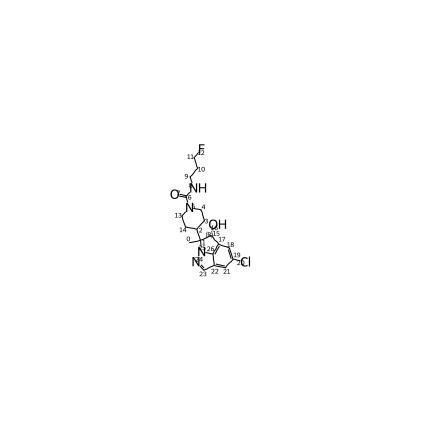 CC1(C2CCN(C(=O)NCCCF)CC2)[C@H](O)c2cc(Cl)cc3cnn1c23